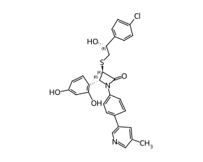 Cc1cncc(-c2ccc(N3C(=O)[C@H](SC[C@H](O)c4ccc(Cl)cc4)[C@H]3c3ccc(O)cc3O)cc2)c1